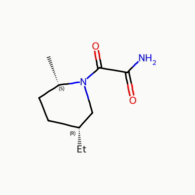 CC[C@@H]1CC[C@H](C)N(C(=O)C(N)=O)C1